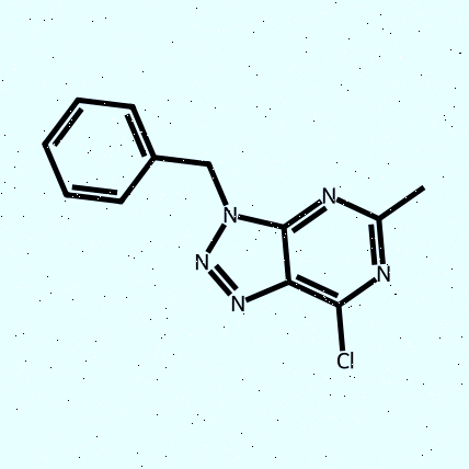 Cc1nc(Cl)c2nnn(Cc3ccccc3)c2n1